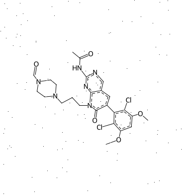 COc1cc(OC)c(Cl)c(-c2cc3cnc(NC(C)=O)nc3n(CCCN3CCN(C=O)CC3)c2=O)c1Cl